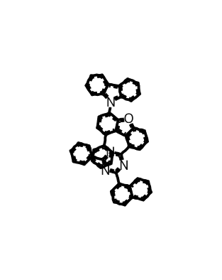 c1ccc(-c2nc(-c3cccc4ccccc34)nc(-c3cccc4oc5c(-n6c7ccccc7c7ccccc76)ccc(-c6ccccc6)c5c34)n2)cc1